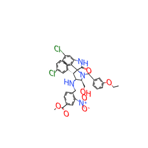 CCOc1cccc(CN2[C@@H](CO)[C@@H](NCc3ccc(C(=O)OC)cc3[N+](=O)[O-])[C@H](c3cccc(Cl)c3)[C@]23C(=O)Nc2cc(Cl)ccc23)c1